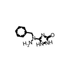 NN(Cc1ccccc1)c1nc(=O)[nH][nH]1